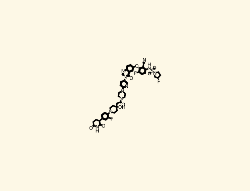 N#Cc1c(NS(=O)(=O)N2CC[C@@H](F)C2)ccc(F)c1Oc1ccc2ncn(-c3ccc(N4CCN(C(=O)CC5(O)CCN(c6ccc(C7CCC(=O)NC7=O)cc6F)CC5)CC4)nc3)c(=O)c2c1